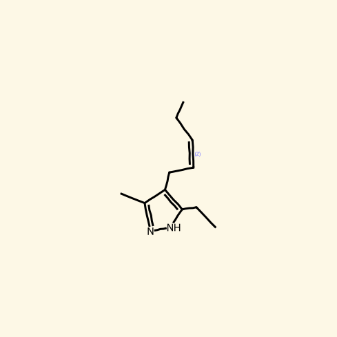 CC/C=C\Cc1c(C)n[nH]c1CC